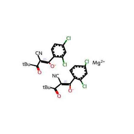 CC(C)(C)C(=O)/C(C#N)=C(\[O-])c1ccc(Cl)cc1Cl.CC(C)(C)C(=O)/C(C#N)=C(\[O-])c1ccc(Cl)cc1Cl.[Mg+2]